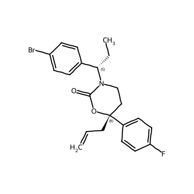 C=CC[C@]1(c2ccc(F)cc2)CCN([C@@H](CC)c2ccc(Br)cc2)C(=O)O1